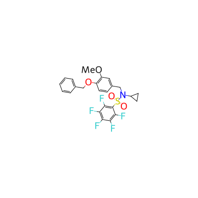 COc1cc(CN(C2CC2)S(=O)(=O)c2c(F)c(F)c(F)c(F)c2F)ccc1OCc1ccccc1